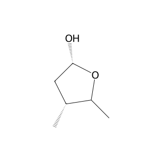 CC1O[C@@H](O)C[C@H]1C